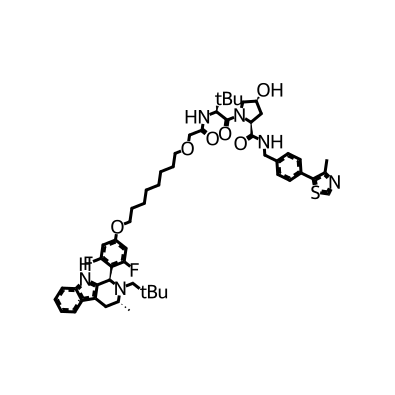 Cc1ncsc1-c1ccc(CNC(=O)[C@@H]2C[C@@H](O)CN2C(=O)[C@@H](NC(=O)COCCCCCCCCOc2cc(F)c([C@@H]3c4[nH]c5ccccc5c4C[C@@H](C)N3CC(C)(C)C)c(F)c2)C(C)(C)C)cc1